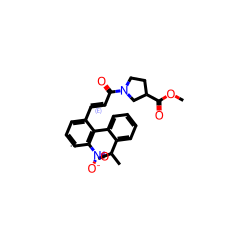 COC(=O)C1CCN(C(=O)/C=C/c2cc[c]c([N+](=O)[O-])c2-c2ccccc2C(C)C)C1